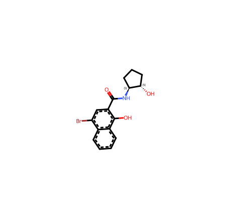 O=C(N[C@H]1CCC[C@@H]1O)c1cc(Br)c2ccccc2c1O